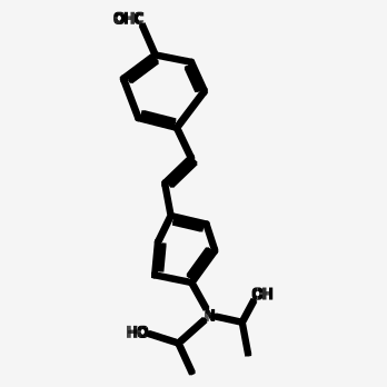 CC(O)N(c1ccc(C=Cc2ccc(C=O)cc2)cc1)C(C)O